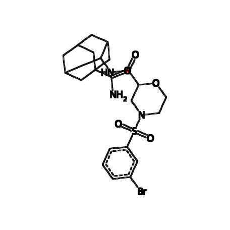 NC(=O)C12CC3CC(C1)C(NC(=O)C1CN(S(=O)(=O)c4cccc(Br)c4)CCO1)C(C3)C2